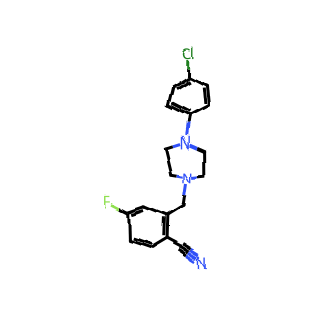 N#Cc1ccc(F)cc1CN1CCN(c2ccc(Cl)cc2)CC1